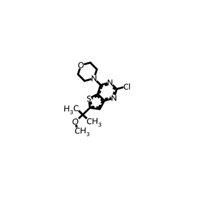 COC(C)(C)c1cc2nc(Cl)nc(N3CCOCC3)c2s1